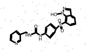 O=C(NCc1cccnc1)Nc1ccc(S(=O)(=O)c2cccc3cnn(O)c23)cc1